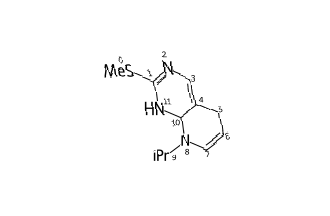 CSC1=NC=C2CC=CN(C(C)C)C2N1